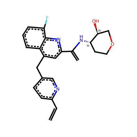 C=Cc1ccc(Cc2cc(C(=C)N[C@H]3CCOC[C@@H]3O)nc3c(F)cccc23)cn1